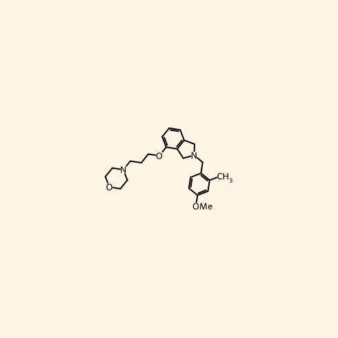 COc1ccc(CN2Cc3cccc(OCCCN4CCOCC4)c3C2)c(C)c1